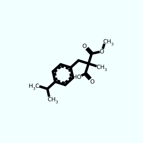 COC(=O)C(C)(Cc1ccc(C(C)C)cc1)C(=O)O